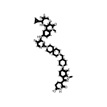 Cn1nc(C2CCC(=O)NC2=O)c2ccc(N3CCC(CN4CCC5(CC4)CCN(c4ncc(F)c(Nc6ccc7c(c6)c6c(c(=O)n7C)OCC(F)(F)C(C7CC7)N6)n4)CC5)CC3)c(F)c21